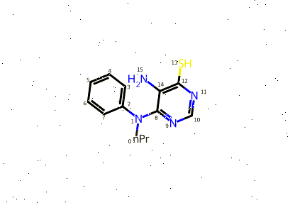 CCCN(c1ccccc1)c1ncnc(S)c1N